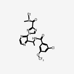 CCN(C)C(=O)c1ncn(-c2nccnc2C(C)NC(=O)c2cc(Cl)cc(OC(F)(F)F)c2)n1